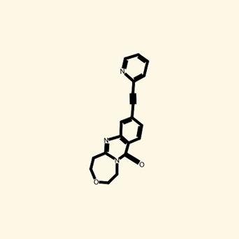 O=c1c2ccc(C#Cc3ccccn3)cc2nc2n1CCOCC2